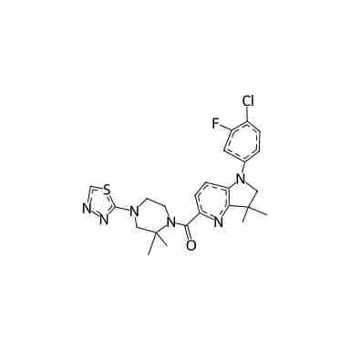 CC1(C)CN(c2ccc(Cl)c(F)c2)c2ccc(C(=O)N3CCN(c4nncs4)CC3(C)C)nc21